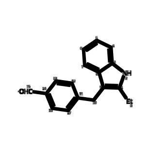 CCc1[nH]c2ccccc2c1Cc1ccc([C]=O)cc1